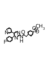 CCS(=O)(=O)c1ccc(CC(=O)Nc2ncc(-c3cccnc3)c(-c3ccc(F)cc3)n2)cc1